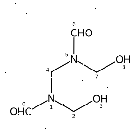 O=CN(CO)CN(C=O)CO